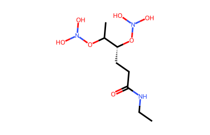 CCNC(=O)CC[C@@H](ON(O)O)C(C)ON(O)O